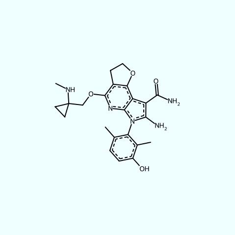 CNC1(COc2nc3c(c4c2CCO4)c(C(N)=O)c(N)n3-c2c(C)ccc(O)c2C)CC1